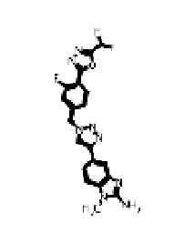 Cn1c(N)nc2cc(-c3cn(Cc4ccc(-c5nnc(C(F)F)o5)c(F)c4)nn3)ccc21